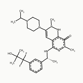 CC(C)N1CCN(C2=Cc3c(N[C@H](C)c4cccc(C(F)(F)C(C)(C)O)c4)nn(C)c(=O)c3NN2C)CC1